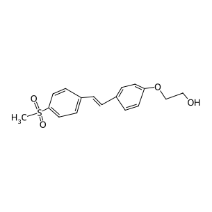 CS(=O)(=O)c1ccc(/C=C/c2ccc(OCCO)cc2)cc1